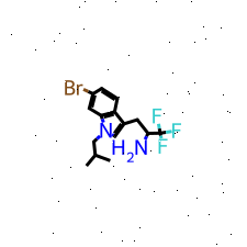 CC(C)Cn1cc(CC(N)C(F)(F)F)c2ccc(Br)cc21